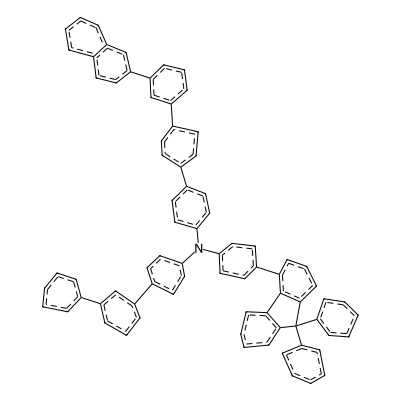 c1ccc(-c2cccc(-c3ccc(N(c4ccc(-c5ccc(-c6cccc(-c7ccc8ccccc8c7)c6)cc5)cc4)c4ccc(-c5cccc6c5-c5ccccc5C6(c5ccccc5)c5ccccc5)cc4)cc3)c2)cc1